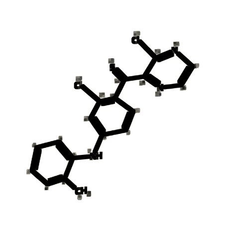 Cc1ccccc1Nc1ccc(C(=S)c2nccnc2Cl)c(Cl)c1